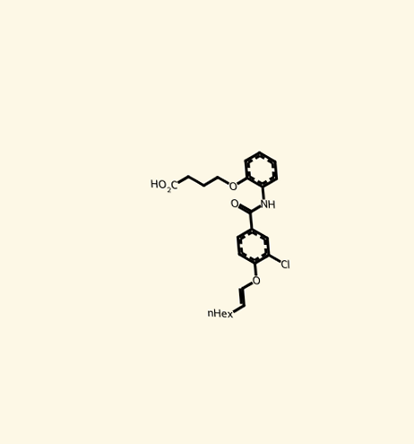 CCCCCCC=COc1ccc(C(=O)Nc2ccccc2OCCCC(=O)O)cc1Cl